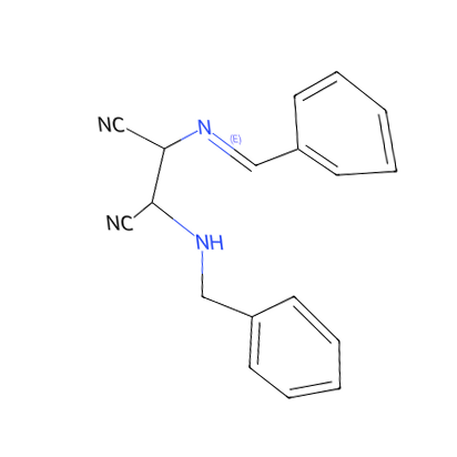 N#CC(/N=C/c1ccccc1)C(C#N)NCc1ccccc1